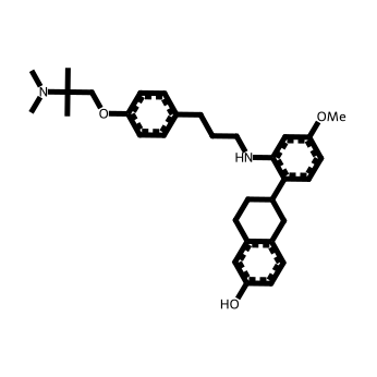 COc1ccc(C2CCc3cc(O)ccc3C2)c(NCCCc2ccc(OCC(C)(C)N(C)C)cc2)c1